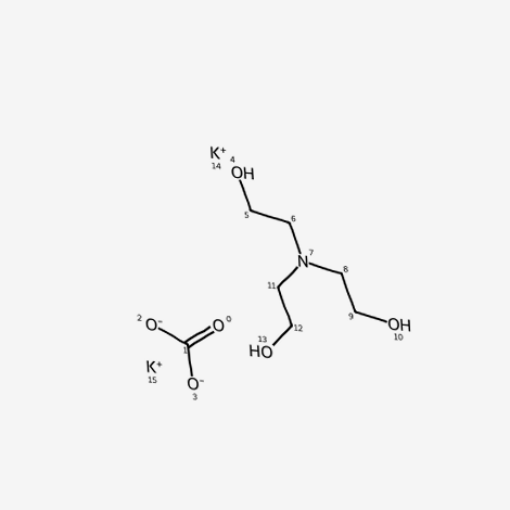 O=C([O-])[O-].OCCN(CCO)CCO.[K+].[K+]